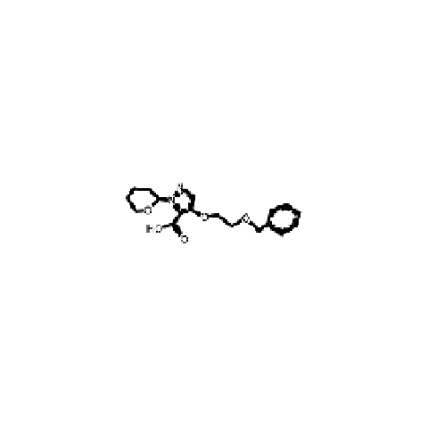 O=C(O)c1c(OCCOCc2ccccc2)cnn1C1CCCCO1